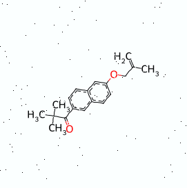 C=C(C)COc1ccc2cc(C(=O)C(C)(C)C)ccc2c1